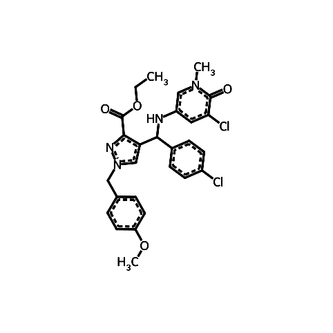 CCOC(=O)c1nn(Cc2ccc(OC)cc2)cc1C(Nc1cc(Cl)c(=O)n(C)c1)c1ccc(Cl)cc1